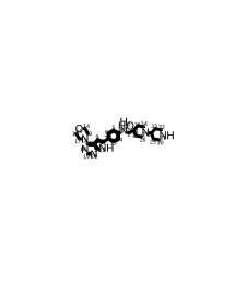 OC1(CNc2ccc(-c3cc4c(N5CCOCC5)ncnc4[nH]3)cc2)CCN(C2CCNCC2)CC1